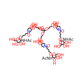 CC(=O)NC1C(OCCCCC(=O)N2CCC(OP(=O)(O)OCCCOCC(CO)(COCCCOP(=O)(O)OC3CCN(C(=O)CCCCOC4OC(CO)C(O)C(O)C4NC(C)=O)CC3)COCCCOP(=O)(O)OC3CCN(C(=O)CCCCOC4OC(CO)C(O)C(O)C4NC(C)=O)CC3)CC2)OC(CO)C(O)C1O